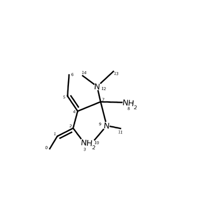 CC=C(N)C(=CC)C(N)(N(C)C)N(C)C